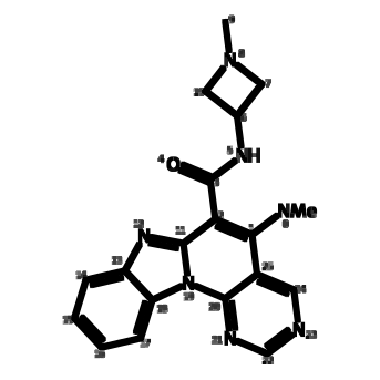 CNc1c(C(=O)NC2CN(C)C2)c2nc3ccccc3n2c2ncncc12